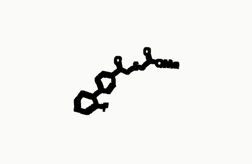 COC(=O)CSCC(=O)c1ccc(-c2ccccc2F)cc1